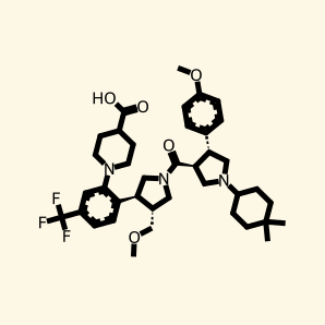 COC[C@H]1CN(C(=O)[C@@H]2CN(C3CCC(C)(C)CC3)C[C@H]2c2ccc(OC)cc2)C[C@@H]1c1ccc(C(F)(F)F)cc1N1CCC(C(=O)O)CC1